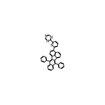 c1ccc(-c2c3c(c(-c4ccccc4)c4ccccc24)-c2ccc(-c4cccc(-c5ncncn5)n4)c4cccc-3c24)cc1